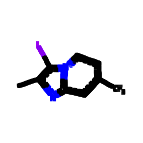 Cc1nc2cc(C(F)(F)F)ccn2c1I